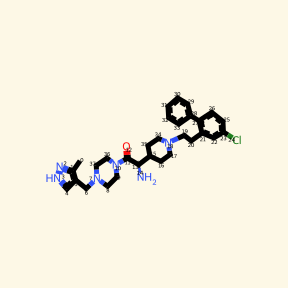 Cc1n[nH]cc1CN1CCN(C(=O)[C@H](N)C2CCN(CCc3cc(Cl)ccc3-c3ccccc3)CC2)CC1